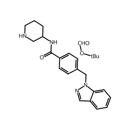 CC(C)(C)OC=O.O=C(NC1CCCNC1)c1ccc(Cn2ncc3ccccc32)cc1